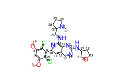 COc1cc(OC)c(Cl)c(-c2cc3cnc(NC4CCOC4)nc3c(NCC3CCCN3C)n2)c1Cl